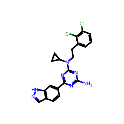 Nc1nc(-c2ccc3cn[nH]c3c2)nc(N(CCc2cccc(Cl)c2Cl)C2CC2)n1